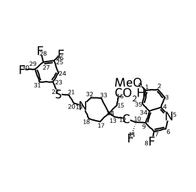 COc1ccc2ncc(F)c([C@H](F)CCC3(CC(=O)O)CCN(CCSc4cc(F)c(F)c(F)c4)CC3)c2c1